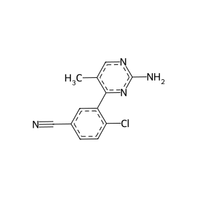 Cc1cnc(N)nc1-c1cc(C#N)ccc1Cl